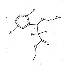 CCOC(=O)C(F)(F)C(OOO)c1cc(Br)ccc1F